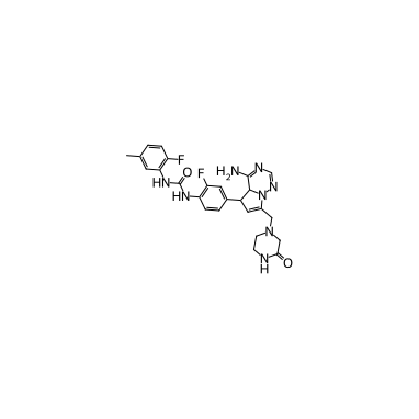 Cc1ccc(F)c(NC(=O)Nc2ccc(C3C=C(CN4CCNC(=O)C4)N4N=CN=C(N)C34)cc2F)c1